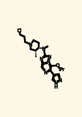 CC(C)Oc1c(-c2cn[nH]c2)ncc2nc(N(C)[C@H]3CCN(CCCCl)C[C@H]3C)nn12